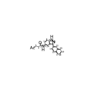 CC(=O)CCC(=O)Nc1ccc2[nH]nc(-c3ccc4ccccc4c3)c2c1